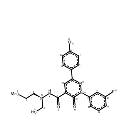 COCC[C@H](CO)NC(=O)c1cc(-c2ccc(C(F)(F)F)cc2)nn(-c2cccc(F)c2)c1=O